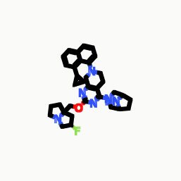 F[C@H]1CN2CCCC2(COc2nc3c(c(N4CC5CCC(C4)N5)n2)CCN(c2cccc4cccc(C5CC5)c24)C3)C1